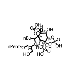 CCCCCOC[C@H](CO)OC(CCCC)[C@@]1(OP(=O)(O)O)[C@@H](O)[C@@H](O)[C@H](OP(=O)(O)O)[C@@H](OP(=O)(O)O)[C@@H]1O